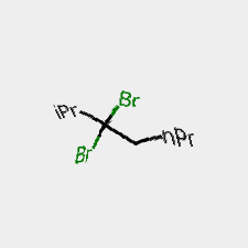 CCCCC(Br)(Br)C(C)C